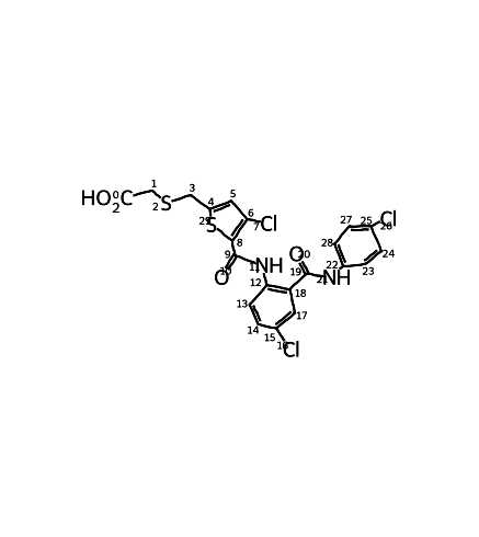 O=C(O)CSCc1cc(Cl)c(C(=O)Nc2ccc(Cl)cc2C(=O)Nc2ccc(Cl)cc2)s1